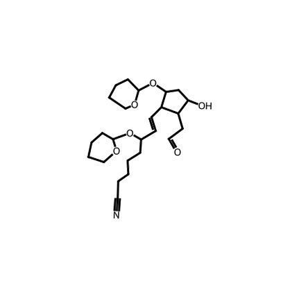 N#CCCCCC(C=CC1C(OC2CCCCO2)CC(O)C1CC=O)OC1CCCCO1